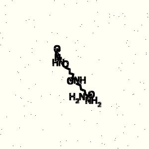 NC(=O)[C@@H](N)CCCCNC(=O)CCCCONCN=C=O